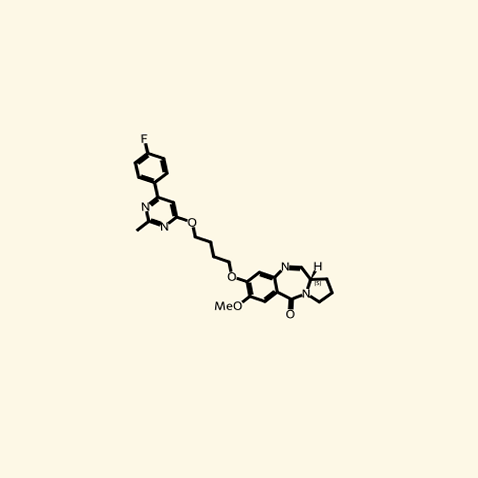 COc1cc2c(cc1OCCCCOc1cc(-c3ccc(F)cc3)nc(C)n1)N=C[C@@H]1CCCN1C2=O